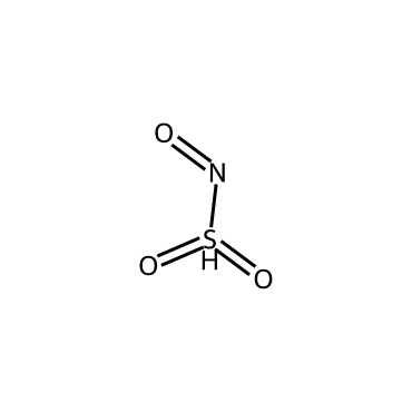 O=N[SH](=O)=O